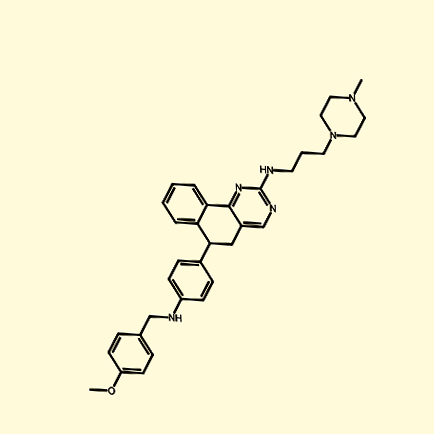 COc1ccc(CNc2ccc(C3Cc4cnc(NCCCN5CCN(C)CC5)nc4-c4ccccc43)cc2)cc1